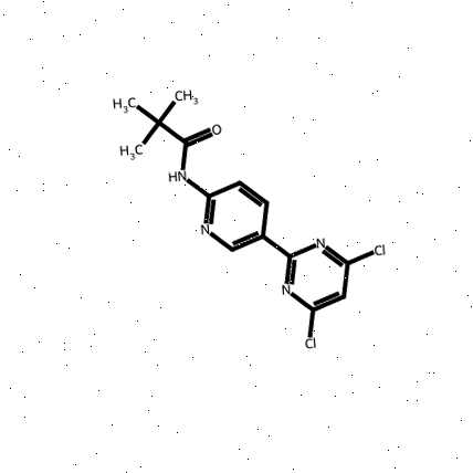 CC(C)(C)C(=O)Nc1ccc(-c2nc(Cl)cc(Cl)n2)cn1